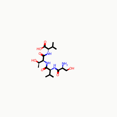 CC(C)[C@H](NC(=O)[C@@H](NC(=O)[C@@H](NC(=O)[C@@H](N)CO)C(C)C)[C@@H](C)O)C(=O)O